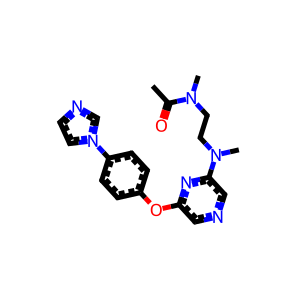 CC(=O)N(C)CCN(C)c1cncc(Oc2ccc(-n3ccnc3)cc2)n1